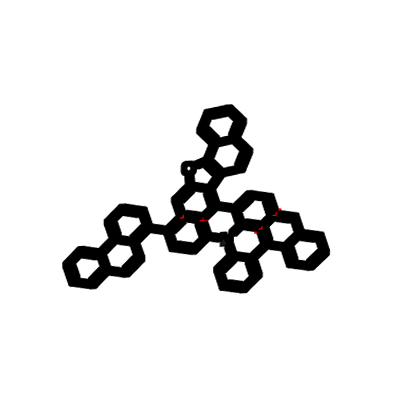 c1ccc(N(c2ccc(-c3cccc4c3ccc3ccccc34)cc2)c2ccccc2-c2cccc3oc4c5ccccc5ccc4c23)c(-c2cccc3ccccc23)c1